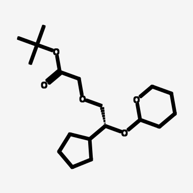 CC(C)(C)OC(=O)COC[C@H](OC1CCCCO1)C1CCCC1